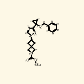 CC(C)(C)OC(=O)N1CC2(CC(n3cnc(C4(OCc5ccccc5)CC4)n3)C2)C1